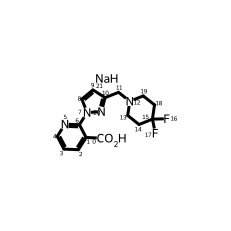 O=C(O)c1cccnc1-n1ccc(CN2CCC(F)(F)CC2)n1.[NaH]